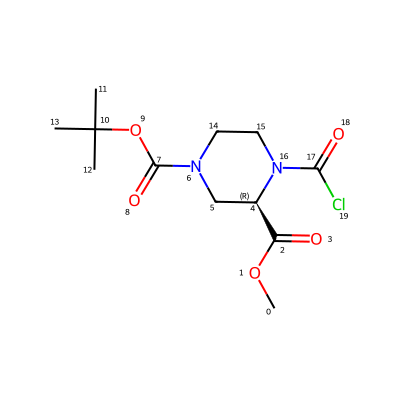 COC(=O)[C@H]1CN(C(=O)OC(C)(C)C)CCN1C(=O)Cl